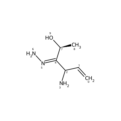 C=CC(N)/C(=N/N)[C@H](C)O